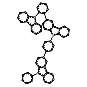 c1ccc(-n2c3ccccc3c3cc(-c4ccc(-n5c6ccccc6c6cc(-c7ccccc7-n7c8ccccc8c8ccccc87)ccc65)cc4)ccc32)cc1